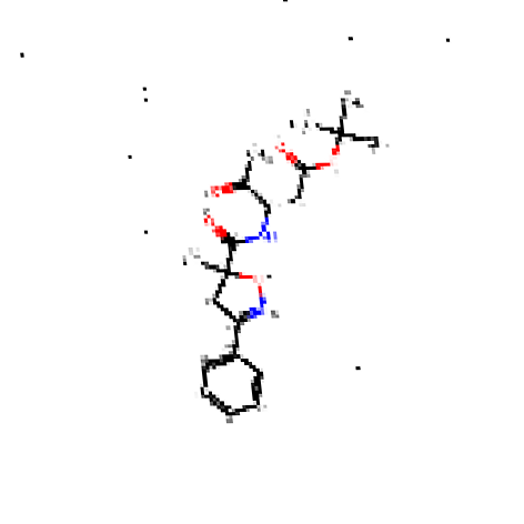 CC(=O)[C@H](CC(=O)OC(C)(C)C)NC(=O)C1(C)CC(c2ccccc2)=NO1